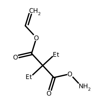 C=COC(=O)C(CC)(CC)C(=O)ON